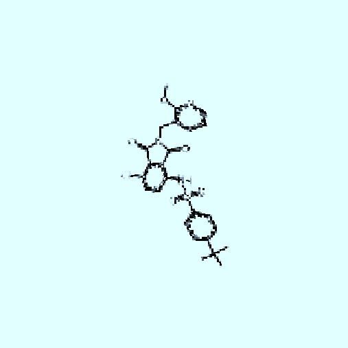 COc1ncccc1CN1C(=O)c2c(Cl)ccc(NS(=O)(=O)c3ccc(C(C)(C)C)cc3)c2C1=O